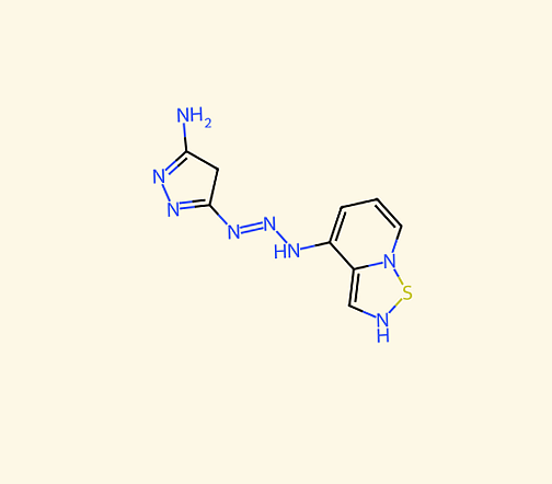 NC1=NN=C(N=NNC2=CC=CN3SNC=C23)C1